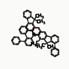 Cc1c(N(c2ccc3c(c2)C(C)(C)c2ccccc2-3)c2cccc(-c3ccccc3)c2-c2ccccc2-c2ccccc2)ccc2c1C(C)(C)c1c(-c3ccccc3)cccc1-2